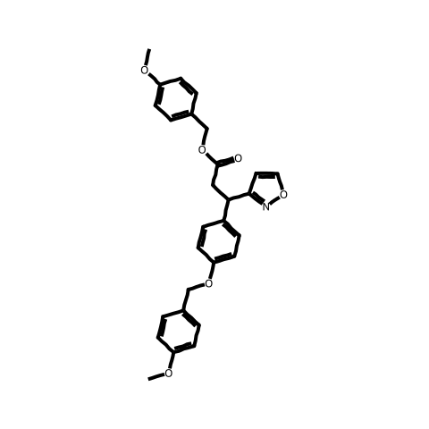 COc1ccc(COC(=O)CC(c2ccc(OCc3ccc(OC)cc3)cc2)c2ccon2)cc1